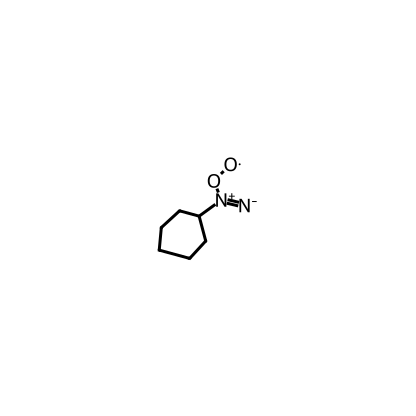 [N-]=[N+](O[O])C1CCCCC1